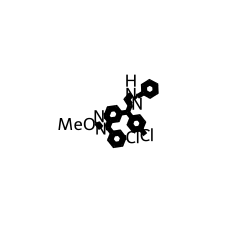 COc1nc(-c2cccc(Cl)c2)c2cc(C(c3ccc(Cl)cc3)c3c[nH]c(-c4ccccc4)n3)ccc2n1